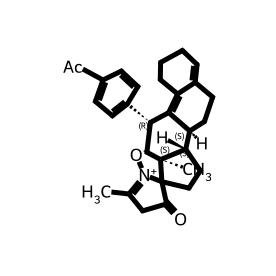 CC(=O)c1ccc([C@H]2C[C@@]3(C)[C@@H](CCC34C(=O)CC(C)=[N+]4[O-])[C@@H]3CCC4=CCCCC4=C32)cc1